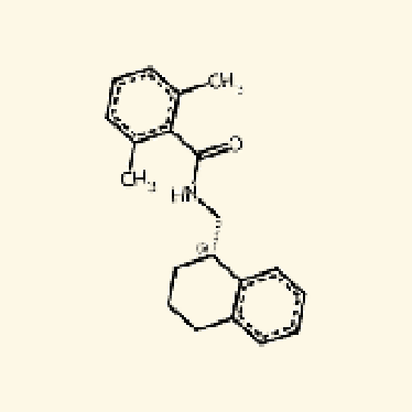 Cc1cccc(C)c1C(=O)NC[C@H]1CCCc2ccccc21